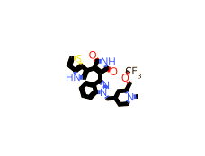 CN1CCC(Cn2nc(C3=C(c4c[nH]c5ccsc45)C(=O)NC3=O)c3ccccc32)CC1COC(F)(F)F